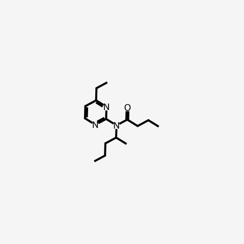 CCCC(=O)N(c1nccc(CC)n1)C(C)CCC